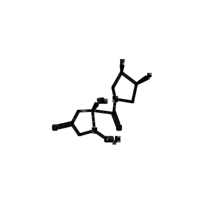 CC(C)(C)[C@]1(C(=O)N2C[C@@H](F)[C@@H](F)C2)CC(=O)CN1C(=O)O